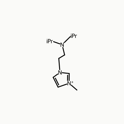 CC(C)N(CCn1cc[n+](C)c1)C(C)C